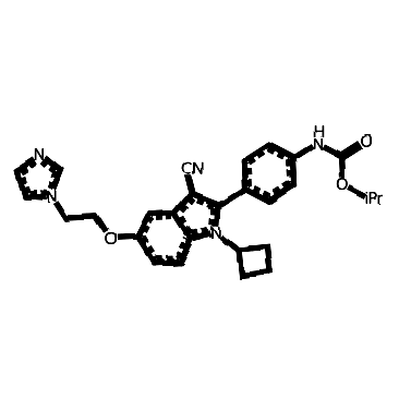 CC(C)OC(=O)Nc1ccc(-c2c(C#N)c3cc(OCCn4ccnc4)ccc3n2C2CCC2)cc1